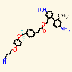 [CH2]c1cc(N)ccc1-c1ccc(N)cc1COC(=O)/C=C/c1ccc(C(F)(F)Oc2ccc(OCCCC#N)cc2)cc1